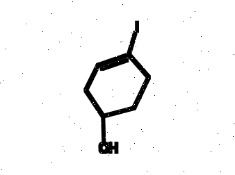 OC1CC=C(I)CC1